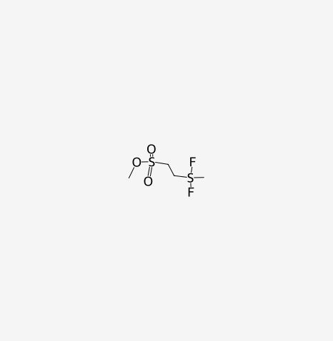 COS(=O)(=O)CCS(C)(F)F